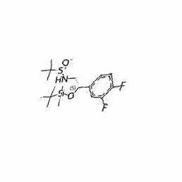 CC(C)(C)[S+]([O-])NC[C@@H](O[Si](C)(C)C(C)(C)C)c1ccc(F)c(F)c1